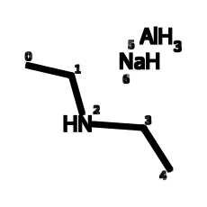 CCNCC.[AlH3].[NaH]